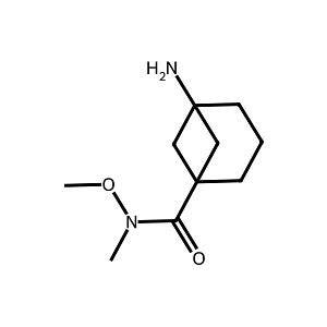 CON(C)C(=O)C12CCCC(N)(C1)C2